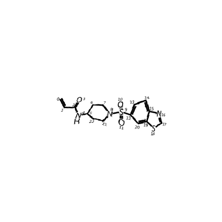 C=CC(=O)NC1CCN(S(=O)(=O)c2ccc3ncsc3c2)CC1